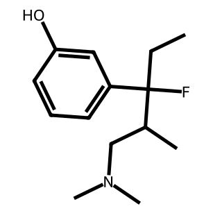 CCC(F)(c1cccc(O)c1)C(C)CN(C)C